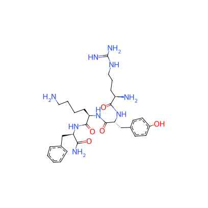 N=C(N)NCCC[C@@H](N)C(=O)N[C@H](Cc1ccc(O)cc1)C(=O)N[C@H](CCCCN)C(=O)N[C@H](Cc1ccccc1)C(N)=O